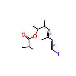 CC(/C=C/I)=C\C(C)C(C)OC(=O)C(C)C